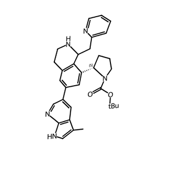 Cc1c[nH]c2ncc(-c3cc4c(c([C@@H]5CCCN5C(=O)OC(C)(C)C)c3)C(Cc3ccccn3)NCC4)cc12